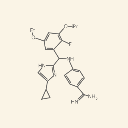 CCOc1cc(OC(C)C)c(F)c(C(Nc2ccc(C(=N)N)cc2)c2nc(C3CC3)c[nH]2)c1